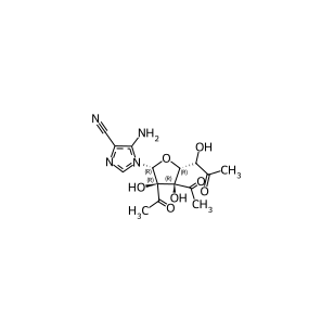 CC(=O)C(O)[C@H]1O[C@@H](n2cnc(C#N)c2N)[C@@](O)(C(C)=O)[C@@]1(O)C(C)=O